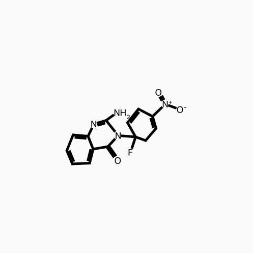 Nc1nc2ccccc2c(=O)n1C1(F)C=CC([N+](=O)[O-])=CC1